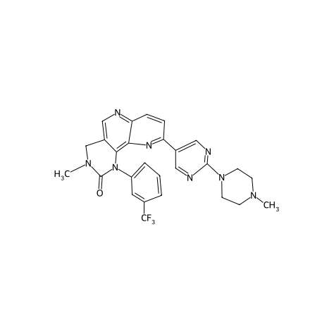 CN1CCN(c2ncc(-c3ccc4ncc5c(c4n3)N(c3cccc(C(F)(F)F)c3)C(=O)N(C)C5)cn2)CC1